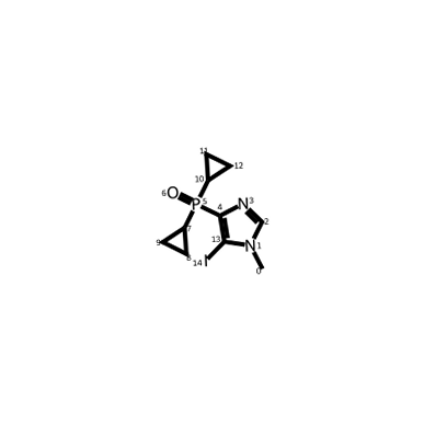 Cn1cnc(P(=O)(C2CC2)C2CC2)c1I